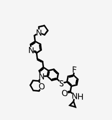 O=C(NC1CC1)c1ccc(F)cc1Sc1ccc2c(/C=C/c3ccc(CN4CCCC4)cn3)cn(C3CCCCO3)c2c1